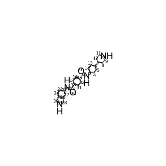 O=C(Nc1ccc(C2=CCNCC2)cc1)c1ccc(C(=O)Nc2ccc3c(c2)CNC3)cc1